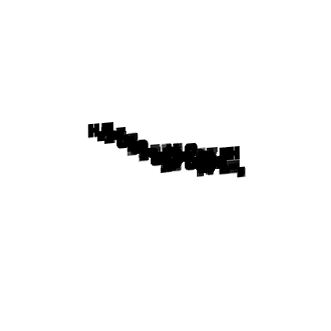 N=C(N)c1ccc(OC(=O)c2ccc(OCCOCCOCCN)cc2)cc1